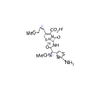 COC/C=C\C1=C(C(=O)O)N2C(=O)C(NC(=O)/C(=N\OC)c3csc(N)n3)[C@H]2SC1